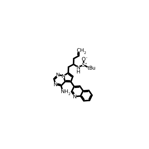 C=CCC(Cc1cc(-c2cnc3ccccc3c2)c2c(N)ncnn12)N[S+]([O-])C(C)(C)C